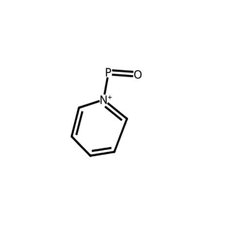 O=P[n+]1ccccc1